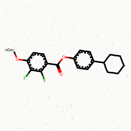 CCCCCCCCCCOc1ccc(C(=O)Oc2ccc(C3CC[CH]CC3)cc2)c(F)c1F